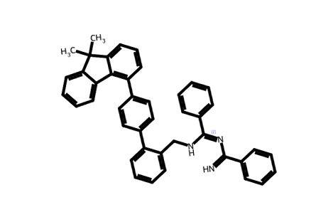 CC1(C)c2ccccc2-c2c(-c3ccc(-c4ccccc4CN/C(=N\C(=N)c4ccccc4)c4ccccc4)cc3)cccc21